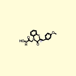 COc1ccc(/C=C2\Sc3ccccc3N(CC(=O)NO)C2=O)cc1